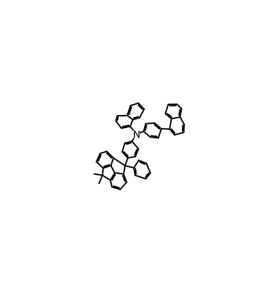 CC1(C)c2cccc3c2-c2c1cccc2C3(c1ccccc1)c1ccc(N(c2ccc(-c3cccc4ccccc34)cc2)c2cccc3ccccc23)cc1